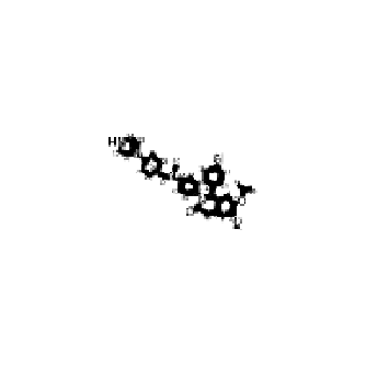 COc1cc2c(cc1OC(C)C)C(c1ccc(Cl)cc1)N(c1ccc(N(C)CC3CCC(N4CC5CC4CN5)CC3)cc1)C(=O)C2